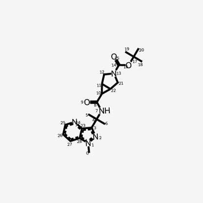 Cn1nc(C(C)(C)NC(=O)C2C3CN(C(=O)OC(C)(C)C)CC32)c2ncccc21